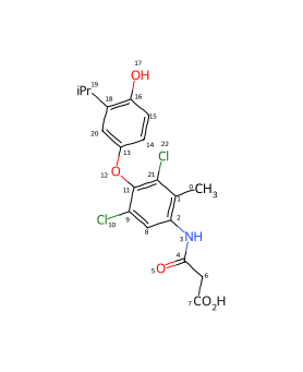 Cc1c(NC(=O)CC(=O)O)cc(Cl)c(Oc2ccc(O)c(C(C)C)c2)c1Cl